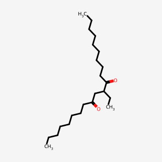 CCCCCCCCCC(=O)C(CC)CC(=O)CCCCCCCC